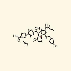 CCCC(C)Nc1nc(N(Cc2ccc(OC)cc2)Cc2ccc(OC)cc2)c2ncc(C(O)c3cnc(N4CCN(C(=O)O)[C@@H](CC#N)C4)c(C)c3)n2n1